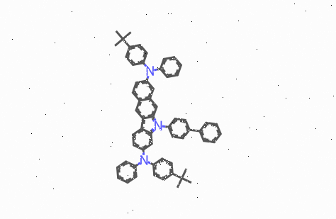 CC(C)(C)c1ccc(N(c2ccccc2)c2ccc3cc4c5ccc(N(c6ccccc6)c6ccc(C(C)(C)C)cc6)cc5n(-c5ccc(-c6ccccc6)cc5)c4cc3c2)cc1